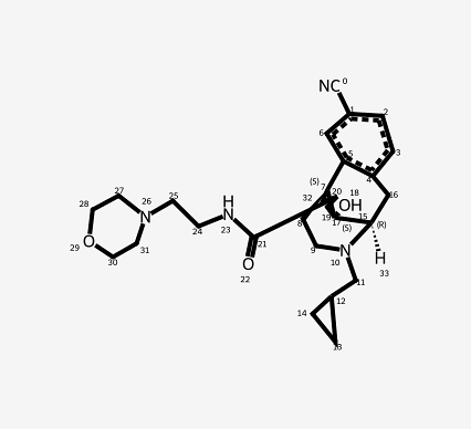 N#Cc1ccc2c(c1)[C@]13CCN(CC4CC4)[C@H](C2)[C@]1(O)CC(C(=O)NCCN1CCOCC1)C3